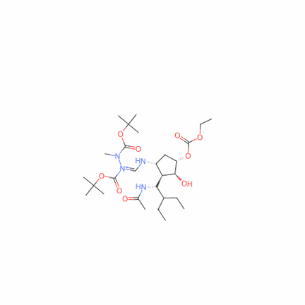 CCOC(=O)O[C@H]1C[C@@H](NC=[N+](C(=O)OC(C)(C)C)N(C)C(=O)OC(C)(C)C)[C@H]([C@@H](NC(C)=O)C(CC)CC)[C@@H]1O